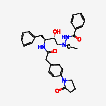 CCN(C[C@@H](O)[C@H](Cc1ccccc1)NC(=O)Cc1ccc(N2CCCC2=O)cc1)NC(=O)c1ccccc1